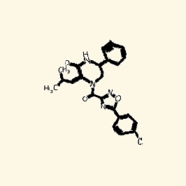 CC(C)CC1C(=O)NC(c2ccccc2)CN1C(=O)c1noc(-c2ccc(Cl)cc2)n1